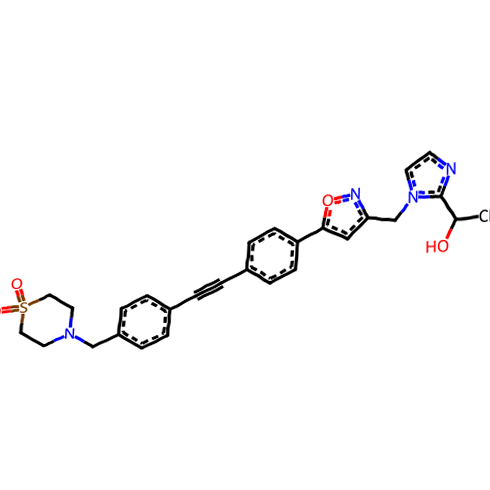 CC(O)c1nccn1Cc1cc(-c2ccc(C#Cc3ccc(CN4CCS(=O)(=O)CC4)cc3)cc2)on1